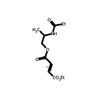 CCOC(=O)/C=C/C(=O)OCC(C)NC(=O)CC